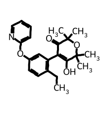 CCc1ccc(Oc2ccccn2)cc1C1=C(O)C(C)(C)OC(C)(C)C1=O